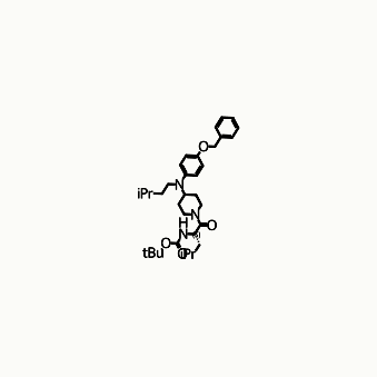 CC(C)CCN(c1ccc(OCc2ccccc2)cc1)C1CCN(C(=O)[C@H](CC(C)C)NC(=O)OC(C)(C)C)CC1